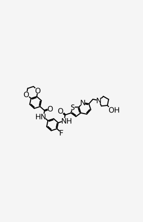 O=C(Nc1ccc(F)c(NC(=O)c2cc3ccc(CN4CCC(O)C4)nc3s2)c1)c1ccc2c(c1)OCCO2